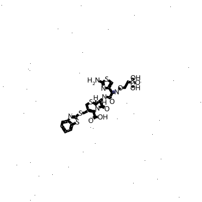 Nc1nc(/C(=N\OCCP(=O)(O)O)C(=O)NC2C(=O)N3C(C(=O)O)=C(CSc4nc5ccccc5s4)CS[C@H]23)cs1